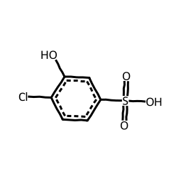 O=S(=O)(O)c1ccc(Cl)c(O)c1